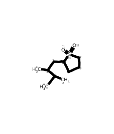 CC(C)C(C)CC1CCCS1(=O)=O